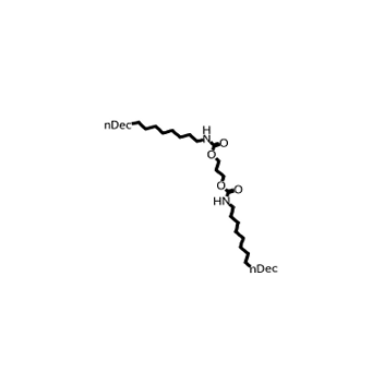 CCCCCCCCCCCCCCCCCCNC(=O)OCCCOC(=O)NCCCCCCCCCCCCCCCCCC